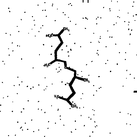 CC(C)CCC(C)COCC(C)CCC(C)C